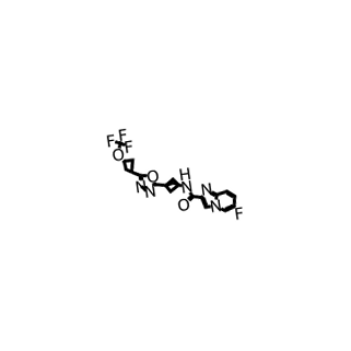 O=C(NC12CC(c3nnc(C4CC(OC(F)(F)F)C4)o3)(C1)C2)c1cn2cc(F)ccc2n1